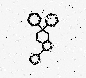 C1=CC(c2ccccc2)(c2ccncn2)Cc2[nH]nc(-c3nccs3)c21